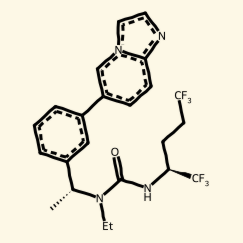 CCN(C(=O)N[C@@H](CCC(F)(F)F)C(F)(F)F)[C@H](C)c1cccc(-c2ccc3nccn3c2)c1